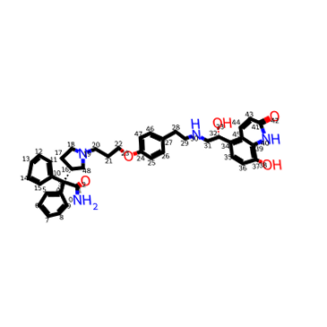 NC(=O)C(c1ccccc1)(c1ccccc1)[C@@H]1CCN(CCCOc2ccc(CCNC[C@H](O)c3ccc(O)c4[nH]c(=O)ccc34)cc2)C1